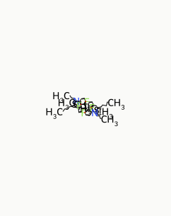 CCCCCC[Si](C)(C)N(CCCC)c1ccc(F)[c]([Ti]([c]2c(F)ccc(N(CCCC)[Si](C)(C)CCCCCC)c2F)([CH]2C=CC=C2)[CH]2C=CC=C2)c1F